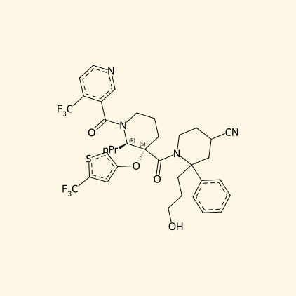 CCC[C@H]1N(C(=O)c2cnccc2C(F)(F)F)CCC[C@@]1(Oc1csc(C(F)(F)F)c1)C(=O)N1CCC(C#N)CC1(CCCO)c1ccccc1